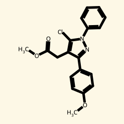 COC(=O)Cc1c(-c2ccc(OC)cc2)nn(-c2ccccc2)c1Cl